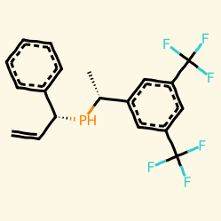 C=C[C@@H](P[C@H](C)c1cc(C(F)(F)F)cc(C(F)(F)F)c1)c1ccccc1